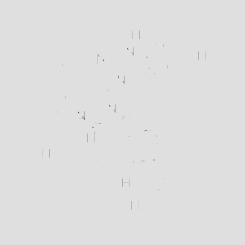 CN(C(=O)OC(C)(C)C)c1nc(Cl)c(-c2nc3ccccc3s2)c(N(C)[C@@H]2C[C@H](CC=O)[C@@H](OC(=O)OC(C)(C)C)[C@H]2OC(=O)OC(C)(C)C)n1